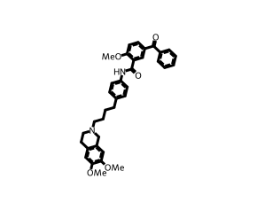 COc1cc2c(cc1OC)CN(CCCCc1ccc(NC(=O)c3cc(C(=O)c4ccccc4)ccc3OC)cc1)CC2